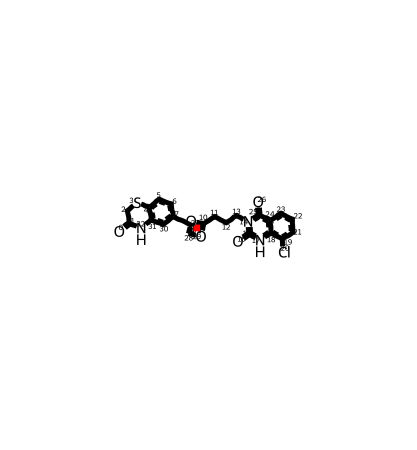 O=C1CSc2ccc(N3CC4(CCCn5c(=O)[nH]c6c(Cl)cccc6c5=O)OC3O4)cc2N1